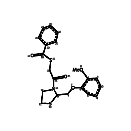 COc1ccccc1OCC1SCCN1C(=O)CSC(=O)c1ccccc1